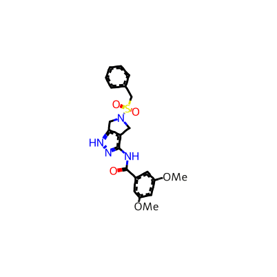 COc1cc(OC)cc(C(=O)Nc2n[nH]c3c2CN(S(=O)(=O)Cc2ccccc2)C3)c1